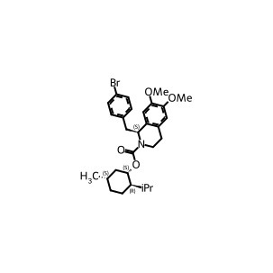 COc1cc2c(cc1OC)[C@H](Cc1ccc(Br)cc1)N(C(=O)O[C@H]1C[C@@H](C)CC[C@@H]1C(C)C)CC2